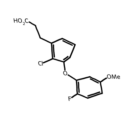 COc1ccc(F)c(Oc2cccc(CCC(=O)O)c2Cl)c1